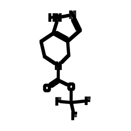 O=C(OC(F)(F)F)N1CCc2[nH]ncc2C1